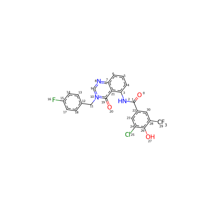 O=C(Nc1cccc2ncn(Cc3ccc(F)cc3)c(=O)c12)c1cc(Cl)c(O)c(C(F)(F)F)c1